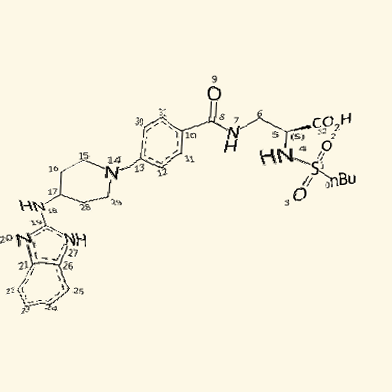 CCCCS(=O)(=O)N[C@@H](CNC(=O)c1ccc(N2CCC(Nc3nc4ccccc4[nH]3)CC2)cc1)C(=O)O